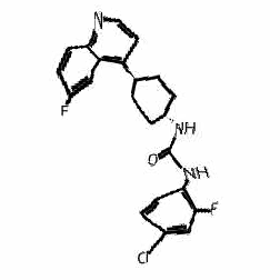 O=C(Nc1ccc(Cl)cc1F)N[C@H]1CC[C@H](c2ccnc3ccc(F)cc32)CC1